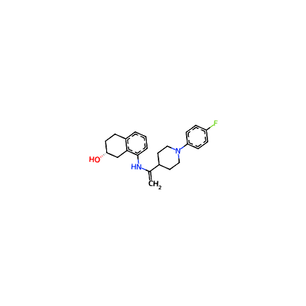 C=C(Nc1cccc2c1C[C@H](O)CC2)C1CCN(c2ccc(F)cc2)CC1